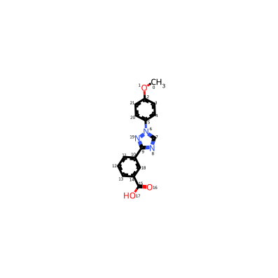 COc1ccc(-n2cnc(-c3cccc(C(=O)O)c3)n2)cc1